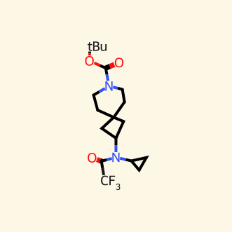 CC(C)(C)OC(=O)N1CCC2(CC1)CC(N(C(=O)C(F)(F)F)C1CC1)C2